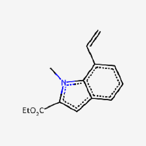 C=Cc1cccc2cc(C(=O)OCC)n(C)c12